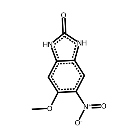 COc1cc2[nH]c(=O)[nH]c2cc1[N+](=O)[O-]